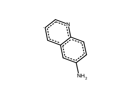 Nc1ccc2nc[c]cc2c1